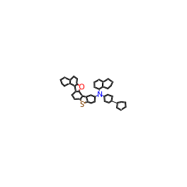 c1ccc(-c2ccc(N(c3ccc4sc5ccc6c(oc7ccc8ccccc8c76)c5c4c3)c3cccc4ccccc34)cc2)cc1